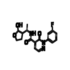 CC(NC(=O)c1ccnn(-c2cccc(F)c2)c1=O)C1CCOC1O